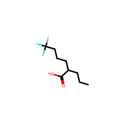 CCCC(CCCC(F)(F)F)C(=O)O